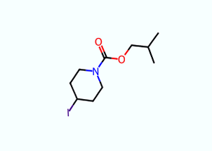 CC(C)COC(=O)N1CCC(I)CC1